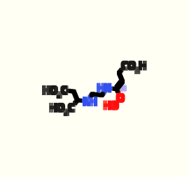 O=C(O)C/C=C(\NCCNC(CC(=O)O)C(=O)O)OO